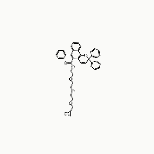 O=C(OCCOCCOCCOCC1CO1)c1c2c(c3ccccc3c1-c1ccccc1)OC(c1ccccc1)(c1ccccc1)C=C2